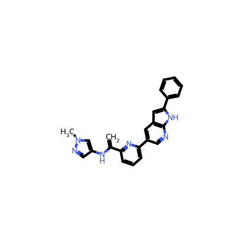 C=C(Nc1cnn(C)c1)c1cccc(-c2cnc3[nH]c(-c4ccccc4)cc3c2)n1